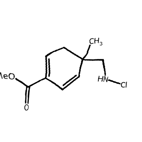 COC(=O)C1=CCC(C)(CNCl)C=C1